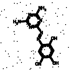 Nc1nc(N)nc(/N=N/c2cc(N=O)c(O)cc2O)n1